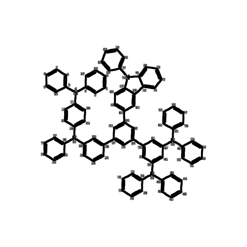 c1ccc(N(c2ccccc2)c2ccc(N(c3ccccc3)c3cccc(-c4cc(-c5cc(N(c6ccccc6)c6ccccc6)cc(N(c6ccccc6)c6ccccc6)c5)cc(-c5ccc6c(c5)c5ccccc5n6-c5ccccc5)c4)c3)cc2)cc1